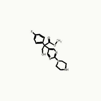 COC(=O)C(CO)(c1ccc(F)cc1)c1cnc(N2CCNCC2)nc1